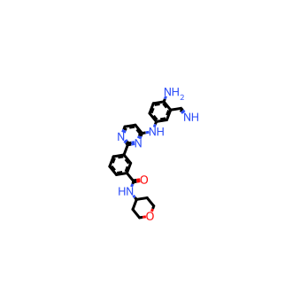 N=Cc1cc(Nc2ccnc(-c3cccc(C(=O)NC4CCOCC4)c3)n2)ccc1N